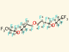 FC(OC(F)=C(F)C(F)(F)C(F)(F)OC(F)(F)C(F)(F)C(F)(F)F)=C(F)C(F)(F)C(F)(F)OC(F)(F)C(F)(F)C(F)(F)F